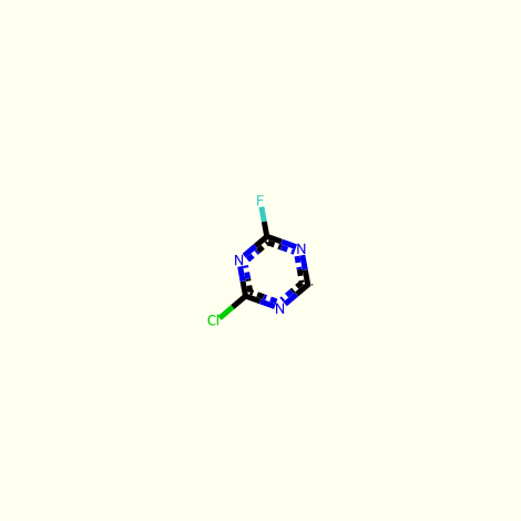 Fc1n[c]nc(Cl)n1